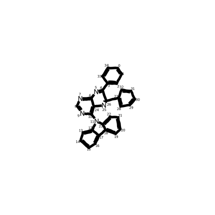 c1ccc(-c2nc3ncnc(-n4c5ccccc5c5ccccc54)c3nc2-c2ccccc2)cc1